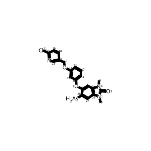 Cn1c(=O)n(C)c2cc(Oc3cccc(OCc4ccc(Cl)nc4)c3)c([AsH2])cc21